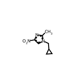 Cc1nc([N+](=O)[O-])cn1CC1CC1